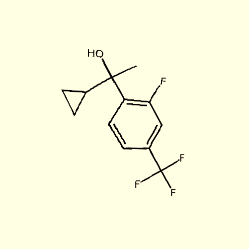 CC(O)(c1ccc(C(F)(F)F)cc1F)C1CC1